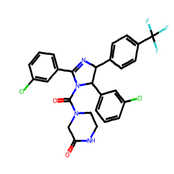 O=C1CN(C(=O)N2C(c3cccc(Cl)c3)=NC(c3ccc(C(F)(F)F)cc3)C2c2cccc(Cl)c2)CCN1